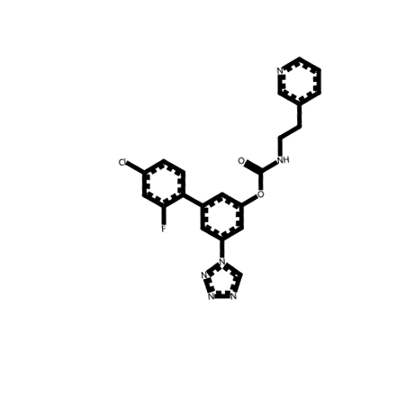 O=C(NCCc1cccnc1)Oc1cc(-c2ccc(Cl)cc2F)cc(-n2cnnn2)c1